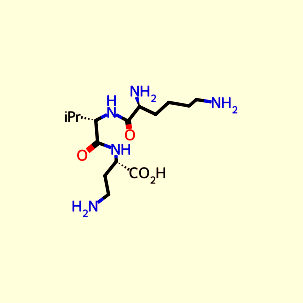 CC(C)[C@H](NC(=O)[C@@H](N)CCCCN)C(=O)N[C@@H](CCN)C(=O)O